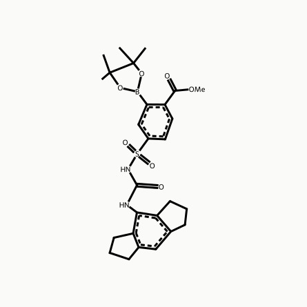 COC(=O)c1ccc(S(=O)(=O)NC(=O)Nc2c3c(cc4c2CCC4)CCC3)cc1B1OC(C)(C)C(C)(C)O1